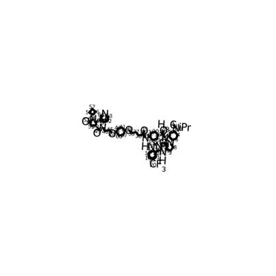 CC(C)N(C)[C@@H]1CC[C@H](N2CC[C@H](Nc3ncnc4ccc(C(F)(F)F)cc34)C2=O)[C@H](NC(=O)[C@H]2CC[C@H](NC(=O)CCCO[C@H]3CC[C@H](OCCNC(=O)[C@H]4CC(=O)N(C5CCC5)[C@@H]4c4cccnc4)CC3)CC2)C1